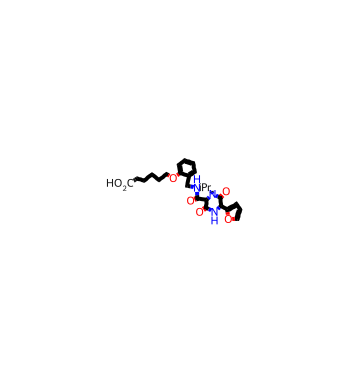 CC(C)N1C(=O)C(c2ccco2)NC(=O)C1C(=O)NCc1ccccc1OCCCCCC(=O)O